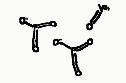 O=P(=O)[O-].O=P(=O)[O-].[O]=[V+2]